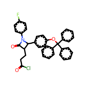 O=C(Cl)CCC1C(=O)N(c2ccc(F)cc2)C1c1ccc(OC(c2ccccc2)(c2ccccc2)c2ccccc2)cc1